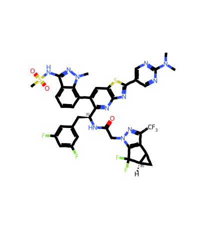 CN(C)c1ncc(-c2nc3nc([C@H](Cc4cc(F)cc(F)c4)NC(=O)Cn4nc(C(F)(F)F)c5c4C(F)(F)[C@@H]4CC54)c(-c4cccc5c(NS(C)(=O)=O)nn(C)c45)cc3s2)cn1